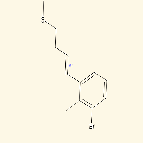 CSCC/C=C/c1cccc(Br)c1C